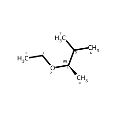 CCO[C@H](C)C(C)C